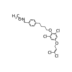 CON=Cc1ccc(CCCCOc2c(Cl)cc(OCC=C(Cl)Cl)cc2Cl)cc1